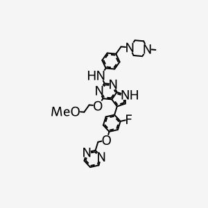 COCCOc1nc(Nc2ccc(CN3CCN(C)CC3)cc2)nc2[nH]cc(-c3ccc(OCc4ncccn4)cc3F)c12